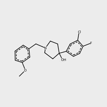 COc1cccc(CN2CCC(O)(c3ccc(F)c(Cl)c3)CC2)c1